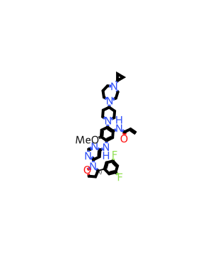 C=CC(=O)Nc1cc(Nc2cc(N3OCC[C@@H]3c3cc(F)cc(F)c3)ncn2)c(OC)cc1N1CCC(N2CCCN(C3CC3)CC2)CC1